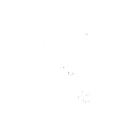 NS(=O)(=O)Oc1ccc2cccc(NC(=O)/C=C/C=C(c3ccc(C(F)(F)F)cc3)c3ccc(C(F)(F)F)cc3)c2c1